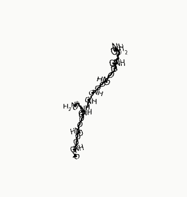 CC(=O)SCC(=O)NCCOCCOCC(=O)NCCOCCOCC(=O)N[C@@H](CCCCNC(=O)CCCC(=O)NCCOCCOCC(=O)NCCOCCOCC(=O)NCCCC[C@H](C)C(N)=O)C(=O)NCCCC[C@H](C)C(N)=O